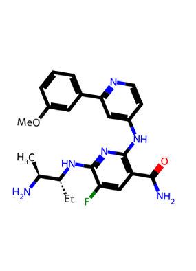 CC[C@@H](Nc1nc(Nc2ccnc(-c3cccc(OC)c3)c2)c(C(N)=O)cc1F)[C@H](C)N